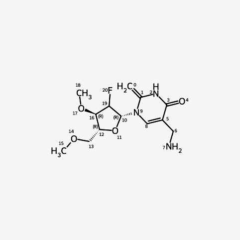 C=C1NC(=O)C(CN)=CN1[C@@H]1O[C@H](COC)[C@@H](OC)C1F